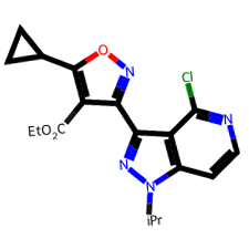 CCOC(=O)c1c(-c2nn(C(C)C)c3ccnc(Cl)c23)noc1C1CC1